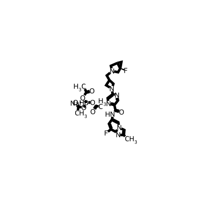 CC(=O)O[BH-](OC(C)=O)OC(C)=O.Cc1cn2cc(NC(=O)c3cnc(N4CC(CN5CC6C[C@]6(F)C5)C4)cn3)cc(F)c2n1.[Na+]